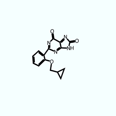 O=C1N=C2C(=O)N=C(c3ccccc3OCC3CC3)N=C2N1